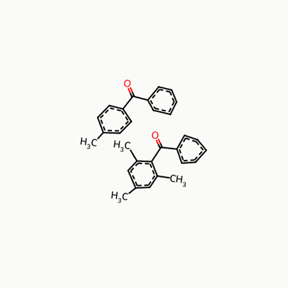 Cc1cc(C)c(C(=O)c2ccccc2)c(C)c1.Cc1ccc(C(=O)c2ccccc2)cc1